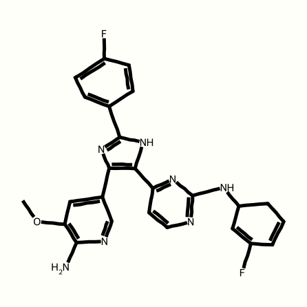 COc1cc(-c2nc(-c3ccc(F)cc3)[nH]c2-c2ccnc(NC3C=C(F)C=CC3)n2)cnc1N